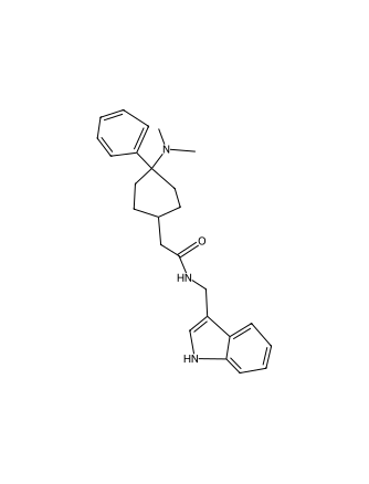 CN(C)C1(c2ccccc2)CCC(CC(=O)NCc2c[nH]c3ccccc23)CC1